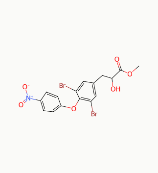 COC(=O)C(O)Cc1cc(Br)c(Oc2ccc([N+](=O)[O-])cc2)c(Br)c1